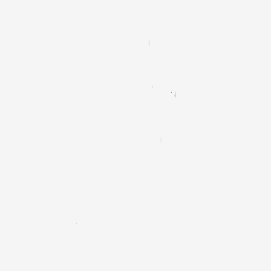 CCCCCCCCC(CC)C(N)(CC)CC.I